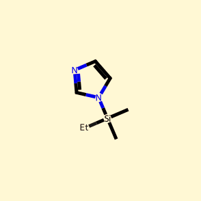 CC[Si](C)(C)n1ccnc1